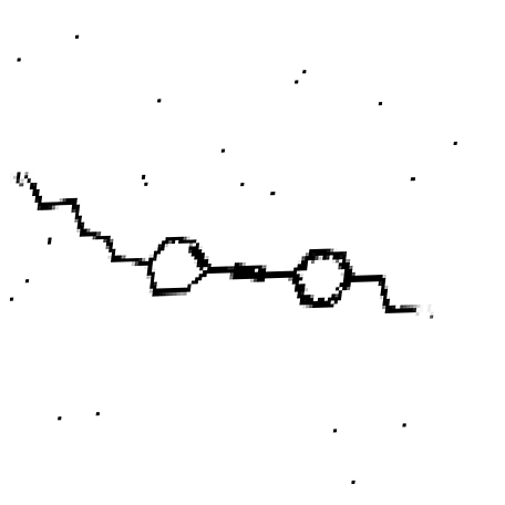 CCCCCCC1CC=C(C#Cc2ccc(CCC)cc2)CC1